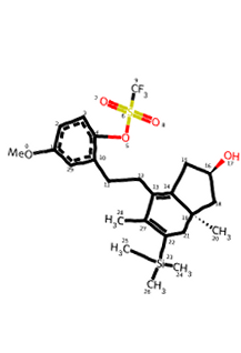 COc1ccc(OS(=O)(=O)C(F)(F)F)c(CCC2=C3C[C@@H](O)C[C@@]3(C)CC([Si](C)(C)C)=C2C)c1